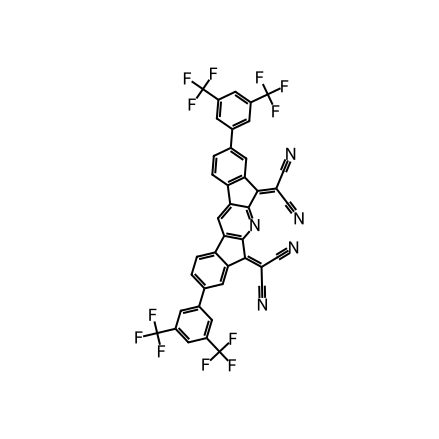 N#CC(C#N)=C1c2cc(-c3cc(C(F)(F)F)cc(C(F)(F)F)c3)ccc2-c2cc3c(nc21)C(=C(C#N)C#N)c1cc(-c2cc(C(F)(F)F)cc(C(F)(F)F)c2)ccc1-3